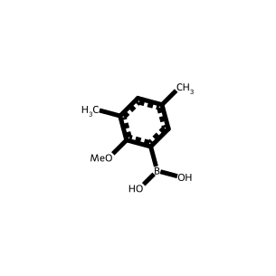 COc1c(C)cc(C)cc1B(O)O